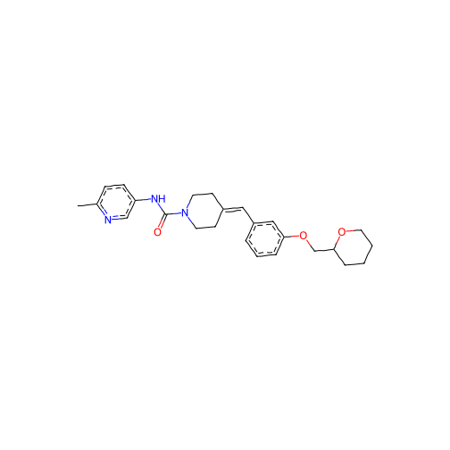 Cc1ccc(NC(=O)N2CCC(=Cc3cccc(OCC4CCCCO4)c3)CC2)cn1